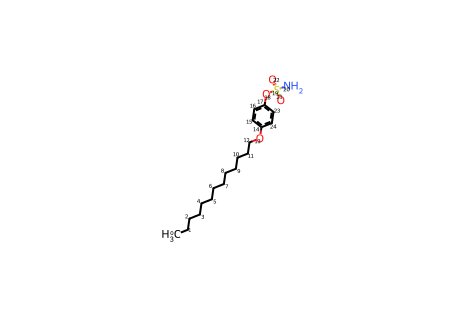 CCCCCCCCCCCCCOc1ccc(OS(N)(=O)=O)cc1